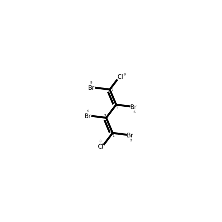 ClC(Br)=C(Br)C(Br)=C(Cl)Br